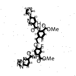 COC(=O)c1cc(F)c(CCOc2cc(NC(=O)c3ccc4nnnn4n3)c(C(=O)OC)cc2F)cc1NC(=O)c1ccc(-n2ccnc2)nn1